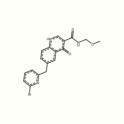 COCNC(=O)c1c[nH]c2ccc(Cc3cccc(Br)n3)cc2c1=O